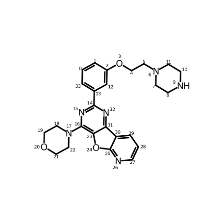 c1cc(OCCN2CCNCC2)cc(-c2nc(N3CCOCC3)c3oc4ncccc4c3n2)c1